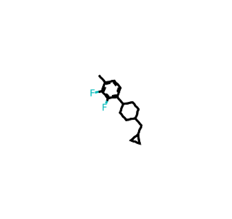 Cc1ccc(C2CCC(CC3CC3)CC2)c(F)c1F